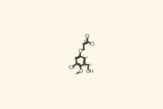 COc1c(Cl)cc(OCC=C(Cl)Cl)cc1CO